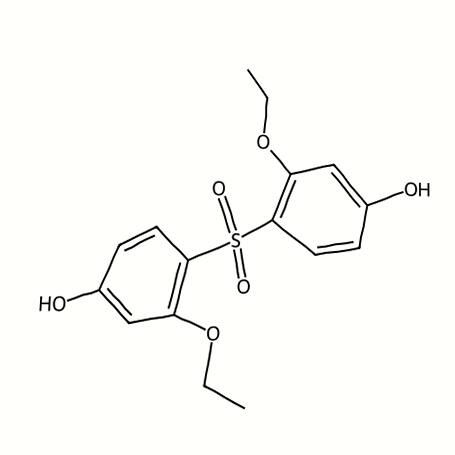 CCOc1cc(O)ccc1S(=O)(=O)c1ccc(O)cc1OCC